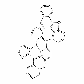 c1ccc(-c2c3ccccc3c(-c3cccc4oc5c6ccccc6ccc5c34)c3ccccc23)c(-c2cccc3ccccc23)c1